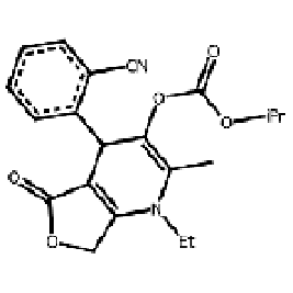 CCN1C(C)=C(OC(=O)OC(C)C)C(c2ccccc2C#N)C2=C1COC2=O